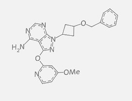 COc1ccnc(Oc2nn(C3CC(OCc4ccccc4)C3)c3ncnc(N)c23)c1